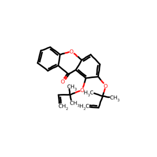 C=CC(C)(C)Oc1ccc2oc3ccccc3c(=O)c2c1OC(C)(C)C=C